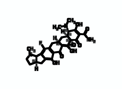 CN1CC[C@@H]2Cc3c(O)c4c(c(F)c3C21)C[C@H]1C[C@H]2[C@H](N(C)C)C(O)=C(C(N)=O)C(=O)[C@@]2(O)C(O)=C1C4=O